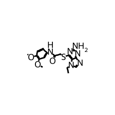 CCn1cnc2nc(N)nc(SCC(=O)Nc3ccc(OC)c(OC)c3)c21